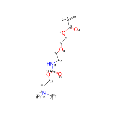 C=C(C)C(=O)OCCOCCNC(=O)OCCN(C(C)C)C(C)C